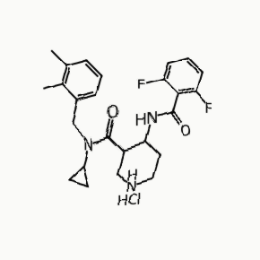 Cc1cccc(CN(C(=O)C2CNCCC2NC(=O)c2c(F)cccc2F)C2CC2)c1C.Cl